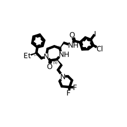 CC[C@H](CN1CC[C@@H](CNC(=O)c2ccc(Cl)c(I)c2)N[C@@H](CCN2CCC(F)(F)CC2)C1=O)c1ccccc1